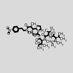 CC[C@H](C)[C@@H]([C@@H](CC(=O)N1CCC[C@H]1[C@H](OC)[C@@H](C)C(=O)N(C)CCc1ccc([N+](=O)[O-])cc1)OC)N(C)C(=O)[C@@H](NC(=O)[C@@H](C(C)C)N(C)C)C(C)C